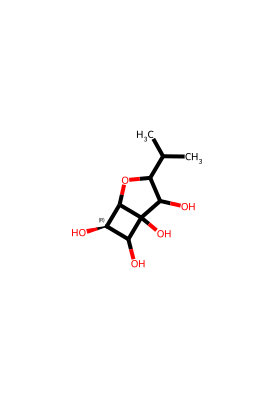 CC(C)C1OC2[C@H](O)C(O)C2(O)C1O